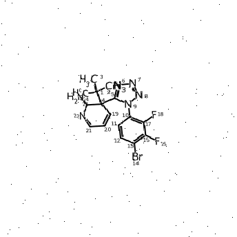 CC(C)(C)C1(c2nnnn2-c2ccc(Br)c(F)c2F)C=CC=NC1N